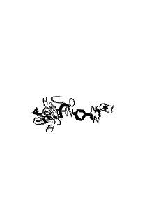 CCOc1cncc(-c2ccc(NC(=O)C(C)c3csc(NS(=O)(=O)C4CC4)n3)cc2)n1